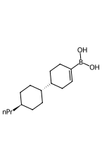 CCC[C@H]1CC[C@H](C2CC=C(B(O)O)CC2)CC1